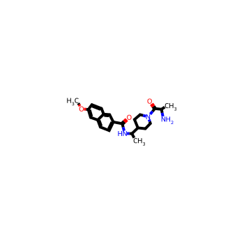 COc1ccc2cc(C(=O)NC(C)C3CCN(C(=O)C(C)N)CC3)ccc2c1